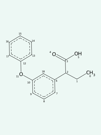 CCC(C(=O)O)c1cccc(Oc2ccccc2)c1